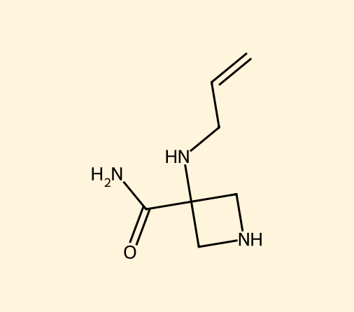 C=CCNC1(C(N)=O)CNC1